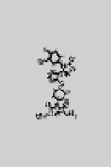 CC(C)(C)OC(=O)N([C@H]1CC[C@H](Sc2nonc2-c2noc(=O)n2-c2ccc(F)c(Br)c2)CC1)S(N)(=O)=O